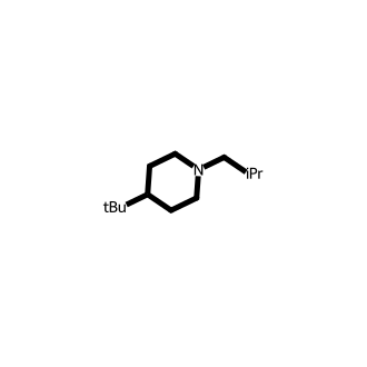 CC(C)CN1CCC(C(C)(C)C)CC1